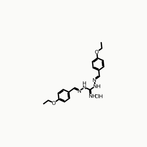 CCOc1ccc(/C=N/NC(=N)N/N=C/c2ccc(OCC)cc2)cc1.Cl